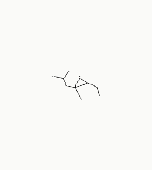 CCC1[CH]C1(C)CC(C)C